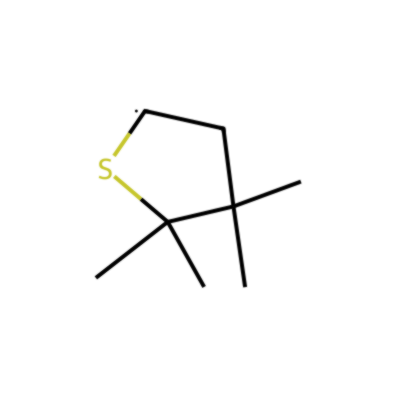 CC1(C)C[CH]SC1(C)C